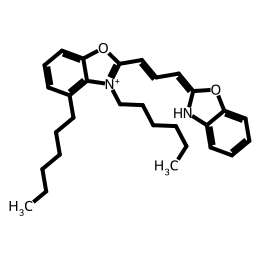 CCCCCCc1cccc2oc(C=CC=C3Nc4ccccc4O3)[n+](CCCCCC)c12